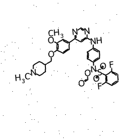 COc1cc(-c2cc(Nc3ccc(N(OC=O)S(=O)(=O)c4c(F)cccc4F)cc3)ncn2)ccc1OCC1CCN(C)CC1